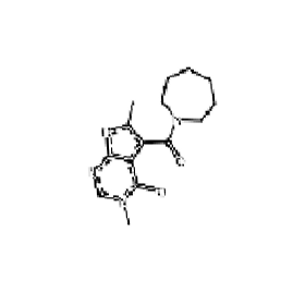 Cc1oc2ncn(C)c(=O)c2c1C(=O)N1CCCCCC1